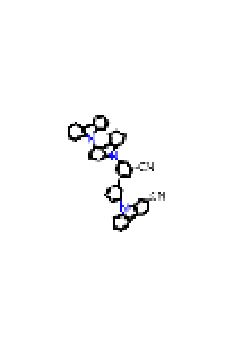 N#Cc1cc(-c2cccc(-n3c4ccccc4c4ccc(C#N)cc43)c2)cc(-n2c3ccccc3c3c(-n4c5ccccc5c5ccccc54)cccc32)c1